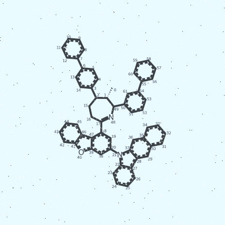 C[C@H]1C(c2ccc(-c3ccccc3)cc2)CCC(c2cc(-n3c4ccccc4c4cc5ccccc5cc43)cc3oc4ccccc4c23)=NC1c1cccc(-c2ccccc2)c1